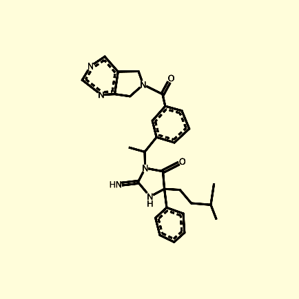 CC(C)CCC1(c2ccccc2)NC(=N)N(C(C)c2cccc(C(=O)N3Cc4cncnc4C3)c2)C1=O